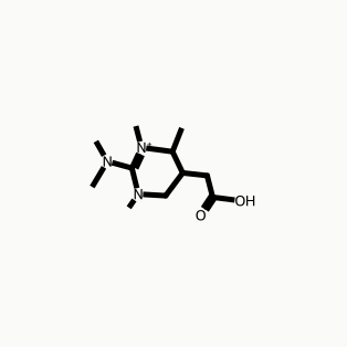 CC1C(CC(=O)O)CN(C)C(N(C)C)=[N+]1C